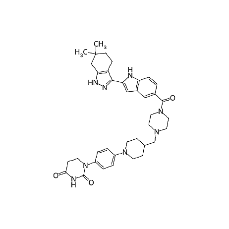 CC1(C)CCc2c(-c3cc4cc(C(=O)N5CCN(CC6CCN(c7ccc(N8CCC(=O)NC8=O)cc7)CC6)CC5)ccc4[nH]3)n[nH]c2C1